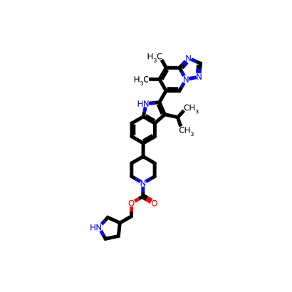 Cc1c(-c2[nH]c3ccc(C4CCN(C(=O)OCC5CCNC5)CC4)cc3c2C(C)C)cn2ncnc2c1C